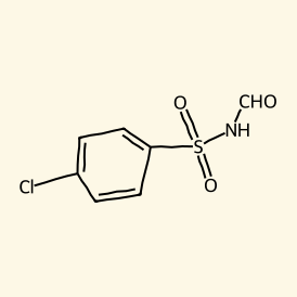 O=CNS(=O)(=O)c1ccc(Cl)cc1